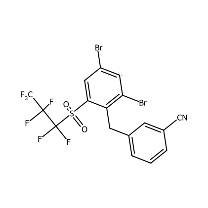 N#Cc1cccc(Cc2c(Br)[c]c(Br)cc2S(=O)(=O)C(F)(F)C(F)(F)C(F)(F)F)c1